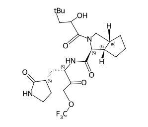 CC(C)(C)CC(O)C(=O)N1C[C@@H]2CCC[C@@H]2[C@H]1C(=O)N[C@@H](C[C@@H]1CCNC1=O)C(=O)COC(F)(F)F